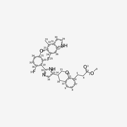 COC(=O)CCc1cccc2c1OCC(c1cnc(-c3cc(Oc4c(F)cc5[nH]ccc5c4C)ccc3F)[nH]1)C2